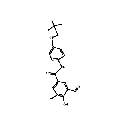 CC(C)(C)CNc1ccc(NC(=O)c2cc(F)c(O)c(C=O)c2)cc1